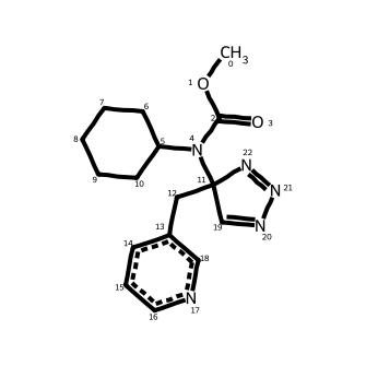 COC(=O)N(C1CCCCC1)C1(Cc2cccnc2)C=NN=N1